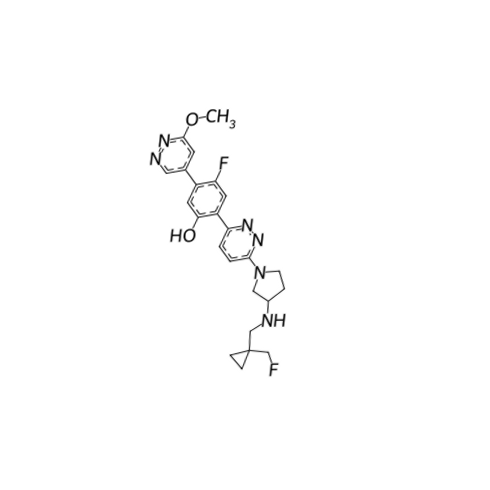 COc1cc(-c2cc(O)c(-c3ccc(N4CCC(NCC5(CF)CC5)C4)nn3)cc2F)cnn1